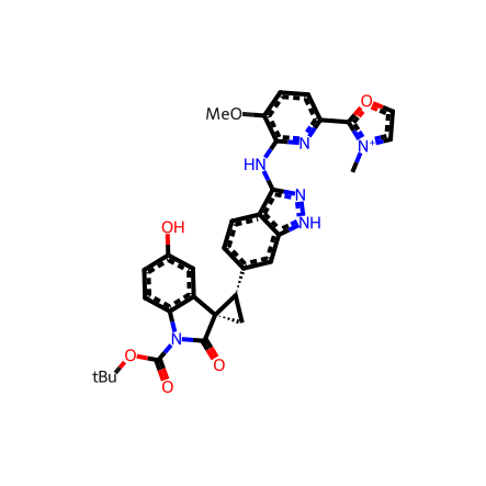 COc1ccc(-c2occ[n+]2C)nc1Nc1n[nH]c2cc([C@@H]3C[C@@]34C(=O)N(C(=O)OC(C)(C)C)c3ccc(O)cc34)ccc12